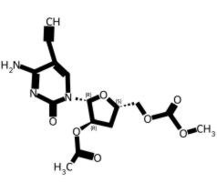 C#Cc1cn([C@@H]2O[C@H](COC(=O)OC)C[C@H]2OC(C)=O)c(=O)nc1N